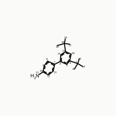 CC(C)(C)c1cc(-c2ccc(N)cc2)cc(C(C)(C)C)c1